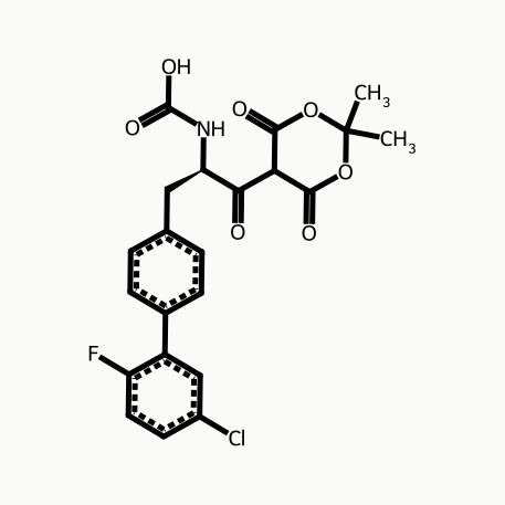 CC1(C)OC(=O)C(C(=O)[C@@H](Cc2ccc(-c3cc(Cl)ccc3F)cc2)NC(=O)O)C(=O)O1